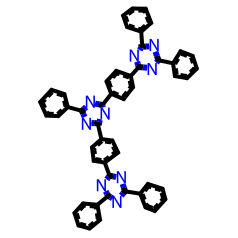 c1ccc(-c2nc(-c3ccccc3)nc(-c3ccc(-c4nc(-c5ccccc5)nc(-c5ccc(-c6nc(-c7ccccc7)nc(-c7ccccc7)n6)cc5)n4)cc3)n2)cc1